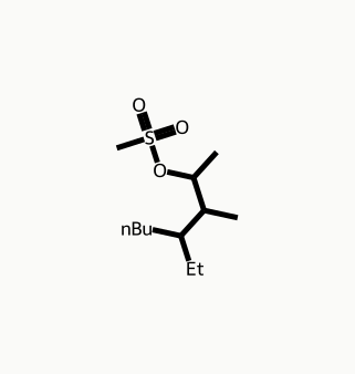 CCCCC(CC)C(C)C(C)OS(C)(=O)=O